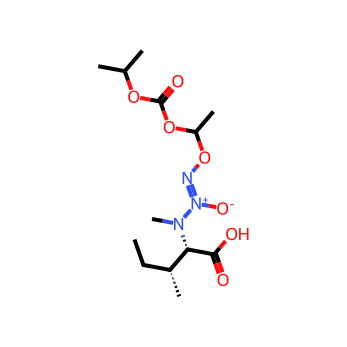 CC[C@@H](C)[C@@H](C(=O)O)N(C)[N+]([O-])=NOC(C)OC(=O)OC(C)C